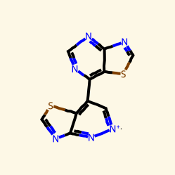 C1=[N+]N=c2ncsc2=C1c1ncnc2ncsc12